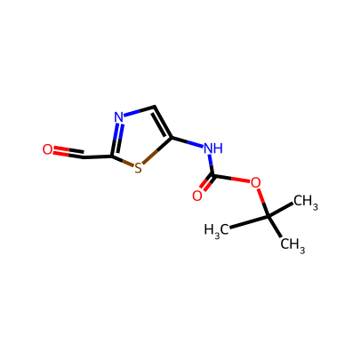 CC(C)(C)OC(=O)Nc1cnc(C=O)s1